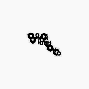 O=C(NCc1ccc(N2CCOCC2)cc1)c1ncccc1NC(=O)c1cccc2ccccc12